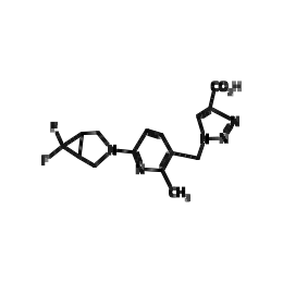 Cc1nc(N2CC3C(C2)C3(F)F)ccc1Cn1cc(C(=O)O)nn1